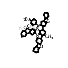 Cc1cc2c3c4c1c1cc5oc6ccccc6c5cc1n4-c1cc4c(cc1B3N(c1ccc(C(C)(C)C)cc1)c1cc3c(cc1-2)sc1ccccc13)C(C)(C)c1ccccc1-4